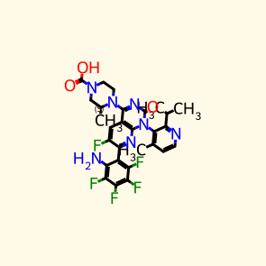 Cc1ccnc(C(C)C)c1-n1c(=O)nc(N2CCN(C(=O)O)C[C@@H]2C)c2cc(F)c(-c3c(N)c(F)c(F)c(F)c3F)nc21